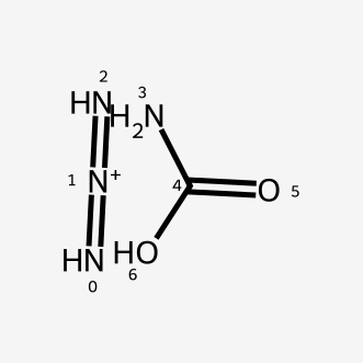 N=[N+]=N.NC(=O)O